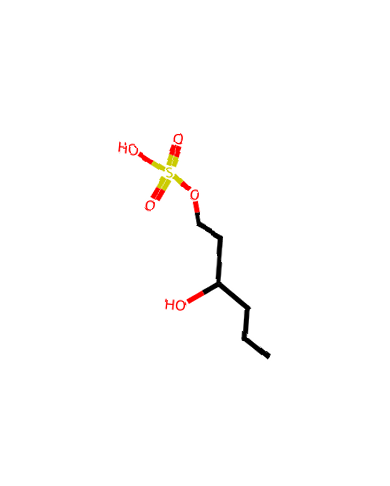 CCCC(O)CCOS(=O)(=O)O